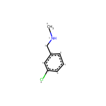 CNCc1[c]ccc(Cl)c1